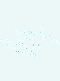 CCOC(=O)c1nn(C)c(-c2cc(OC)ccc2OC)c1C